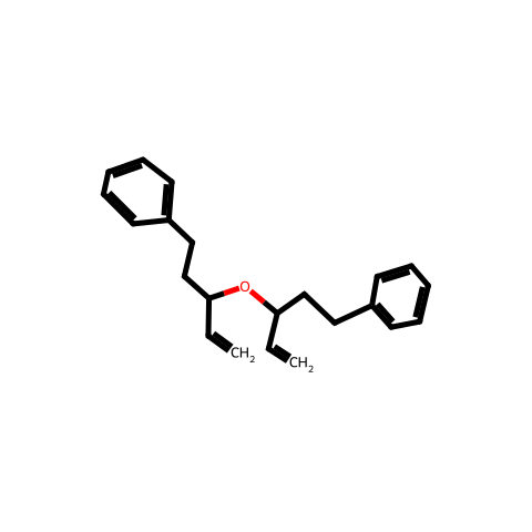 C=CC(CCc1ccccc1)OC(C=C)CCc1ccccc1